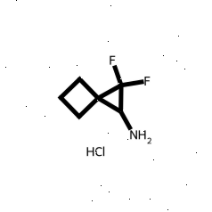 Cl.NC1C(F)(F)C12CCC2